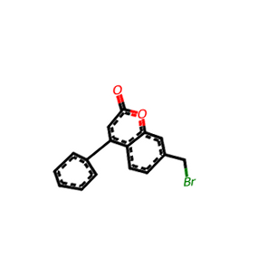 O=c1cc(-c2ccccc2)c2ccc(CBr)cc2o1